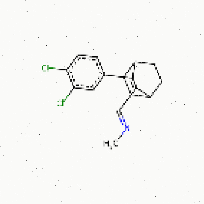 CN=CC1=C(c2ccc(Cl)c(Cl)c2)C2CCC1CC2